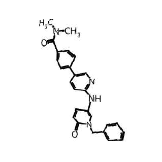 CN(C)C(=O)c1ccc(-c2ccc(Nc3ccc(=O)n(Cc4ccccc4)c3)nc2)cc1